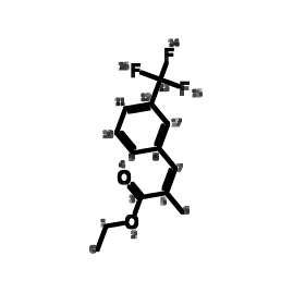 CCOC(=O)C(C)=Cc1cccc(C(F)(F)F)c1